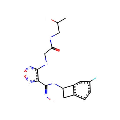 CC(O)CNC(=O)CNc1nonc1/C(=N/O)NC1Cc2ccc(F)cc21